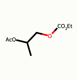 CCOC(=O)OCC(C)OC(C)=O